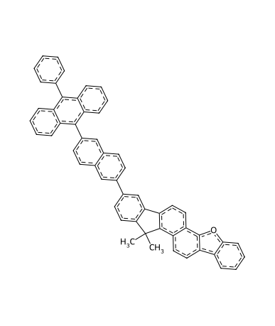 CC1(C)c2ccc(-c3ccc4cc(-c5c6ccccc6c(-c6ccccc6)c6ccccc56)ccc4c3)cc2-c2ccc3c(ccc4c5ccccc5oc34)c21